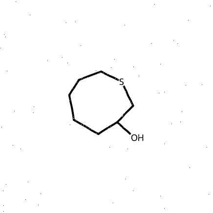 OC1CCCCCSC1